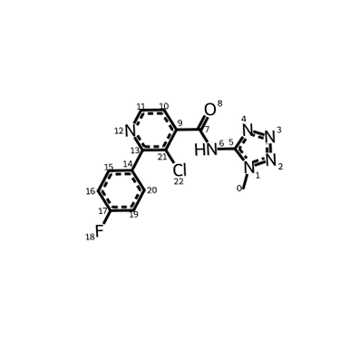 Cn1nnnc1NC(=O)c1ccnc(-c2ccc(F)cc2)c1Cl